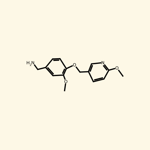 COc1ccc(COc2ccc(CN)cc2OC)cn1